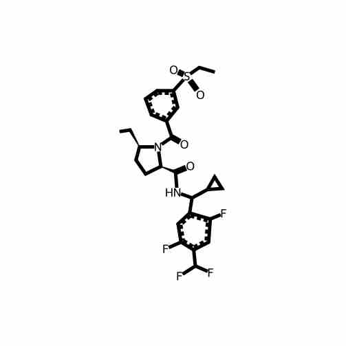 CC[C@@H]1CC[C@H](C(=O)NC(c2cc(F)c(C(F)F)cc2F)C2CC2)N1C(=O)c1cccc(S(=O)(=O)CC)c1